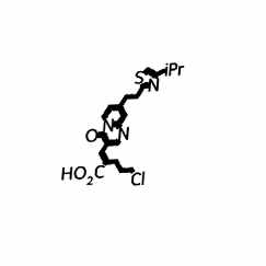 CC(C)c1csc(CCc2ccn3c(=O)c(C=C(CCCCl)C(=O)O)cnc3c2)n1